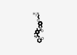 C/N=C(/CN1CCCCC1=O)c1cc(C(=O)N2Cc3ccc(OCCCN)cc3C2)c(C)cc1C